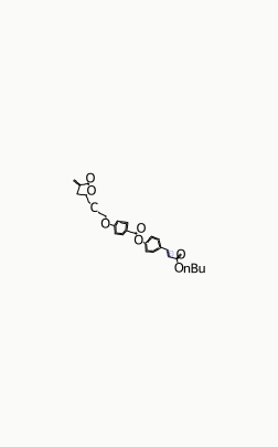 C=C1CC(CCCCOc2ccc(C(=O)Oc3ccc(/C=C/C(=O)OCCCC)cc3)cc2)OC1=O